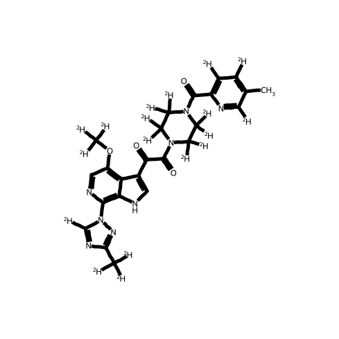 [2H]c1nc(C(=O)N2C([2H])([2H])C([2H])([2H])N(C(=O)C(=O)c3c[nH]c4c(-n5nc(C([2H])([2H])[2H])nc5[2H])ncc(OC([2H])([2H])[2H])c34)C([2H])([2H])C2([2H])[2H])c([2H])c([2H])c1C